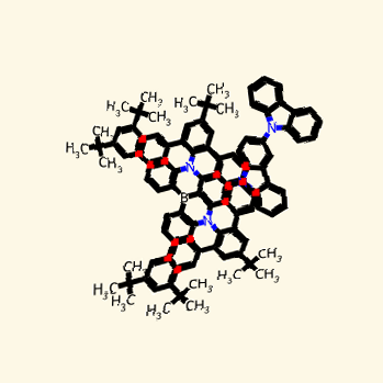 CC(C)(C)c1cc(-c2ccc3c(c2)N(c2c(-c4ccccc4)cc(C(C)(C)C)cc2-c2ccccc2)c2cc(-n4c5ccccc5c5cc(-n6c7ccccc7c7ccccc76)ccc54)cc4c2B3c2ccc(-c3cc(C(C)(C)C)cc(C(C)(C)C)c3)cc2N4c2c(-c3ccccc3)cc(C(C)(C)C)cc2-c2ccccc2)cc(C(C)(C)C)c1